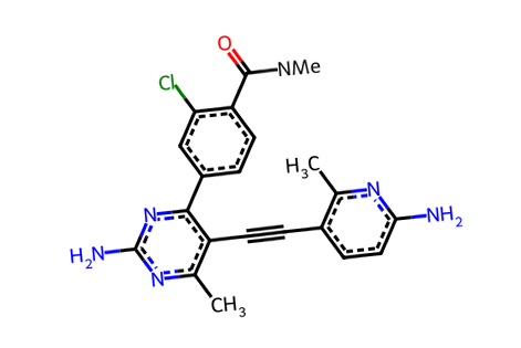 CNC(=O)c1ccc(-c2nc(N)nc(C)c2C#Cc2ccc(N)nc2C)cc1Cl